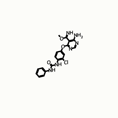 COC(=N)c1c(N)ncnc1Oc1ccc(NC(=O)Nc2ccccc2)c(Cl)c1